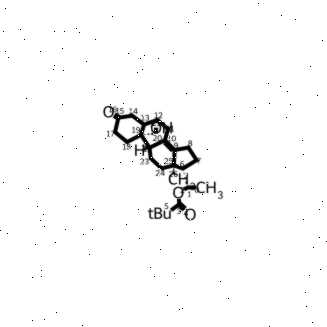 CC(OC(=O)C(C)(C)C)[C@H]1CCC2=C3CCC4CC(=O)CC[C@]4(CO)[C@H]3CC[C@@]21C